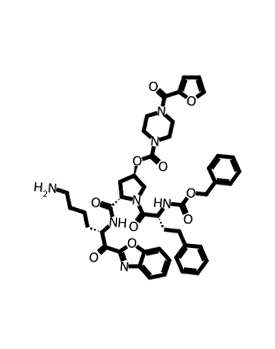 NCCCC[C@H](NC(=O)[C@@H]1C[C@@H](OC(=O)N2CCN(C(=O)c3ccco3)CC2)CN1C(=O)[C@@H](CCc1ccccc1)NC(=O)OCc1ccccc1)C(=O)c1nc2ccccc2o1